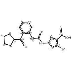 O=C(Nc1nc(C(=O)O)c(Br)s1)Nc1cnccc1C(=O)C1CCCC1